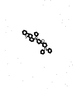 c1ccc(N(c2ccccc2)c2ccc3oc4cc(N(c5ccccc5)c5cccc6c5ccc5c7ccccc7sc65)ccc4c3c2)cc1